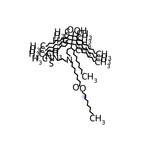 CCCCCC/C=C/COC(=O)CCCCCCCN(CCCNC(=S)N(C)C)CCCC(C(C)CCCCCCCC)C(C(C)CCCCCCCC)(C(C)CCCCCCCC)C(C(C)CCCCCCCC)(C(C)CCCCCCCC)C(C(=O)O)(C(C)CCCCCCCC)C(C)CCCCCCCC